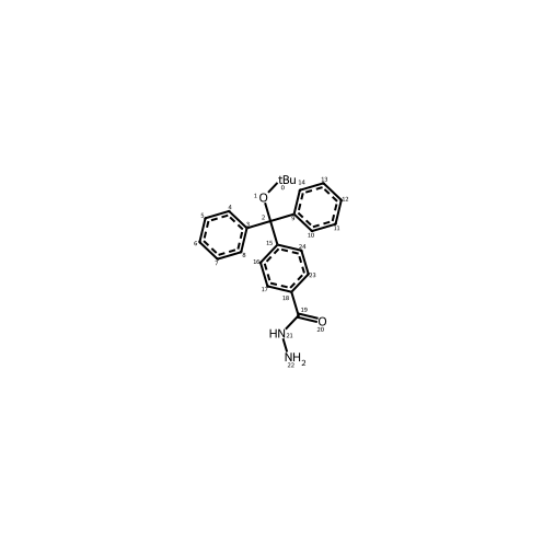 CC(C)(C)OC(c1ccccc1)(c1ccccc1)c1ccc(C(=O)NN)cc1